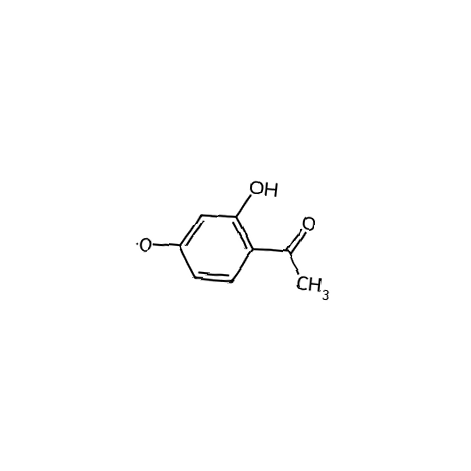 CC(=O)c1ccc([O])cc1O